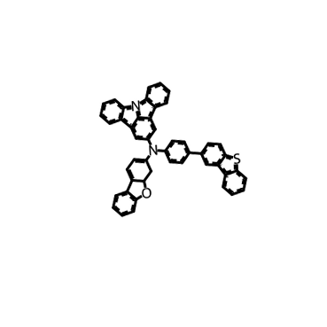 C1=C2c3ccccc3OC2CC(N(c2ccc(-c3ccc4sc5ccccc5c4c3)cc2)c2cc3c4ccccc4n4c5ccccc5c(c2)c34)=C1